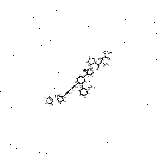 COC(=O)N[C@H](C(=O)N1CCC[C@H]1c1ncc(-c2ccc(C#CC#Cc3cnc([C@@H]4CCCN4)[nH]3)c(-c3ccccc3C)c2)[nH]1)C(C)C